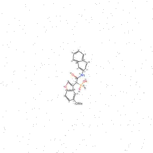 COc1ccc2occ(C(C(=O)Nc3ccc4ccccc4c3)P(C)(=O)O)c2c1